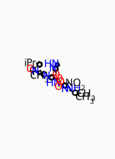 CC(C)c1ccccc1[C@@H]1COCC(C)N1C1CC2(CCN(c3ccc(C(=O)NS(=O)(=O)c4cnc(NCC5CCC(C)(C)CC5)c([N+](=O)[O-])c4)c(Oc4cnc5[nH]ccc5c4)c3)CC2)C1